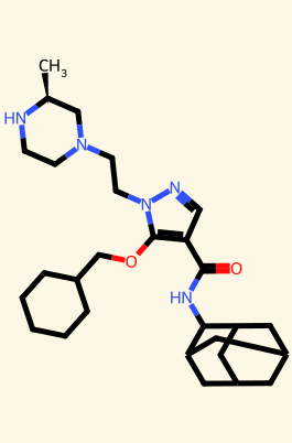 C[C@H]1CN(CCn2ncc(C(=O)NC3C4CC5CC(C4)CC3C5)c2OCC2CCCCC2)CCN1